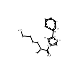 CN(CCCCCl)C(=O)n1cnc(-c2ccccc2)n1